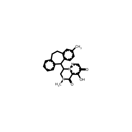 Cc1ccc2c(c1)CCc1ccccc1C2C1CN(C)C(=O)c2c(O)c(=O)cnn21